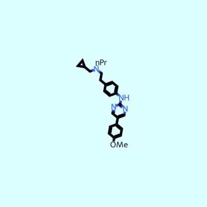 CCCN(CCc1ccc(Nc2ncc(-c3ccc(OC)cc3)cn2)cc1)CC1CC1